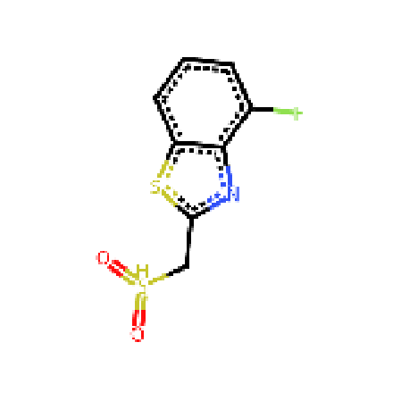 O=[SH](=O)Cc1nc2c(F)cccc2s1